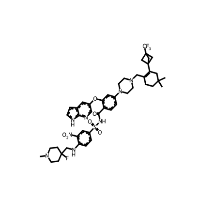 CN1CCC(F)(CNc2ccc(S(=O)(=O)NC(=O)c3ccc(N4CCN(CC5=C(C67CC(C(F)(F)F)(C6)C7)CC(C)(C)CC5)CC4)cc3Oc3cnc4[nH]ccc4c3)cc2[N+](=O)[O-])CC1